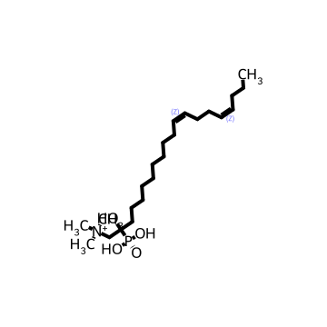 CCC/C=C\CC/C=C\CCCCCCCCCC(O)(C[N+](C)(C)C)P(=O)(O)O